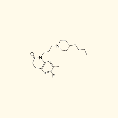 CCCCC1CCN(CCCN2C(=O)CCc3cc(F)c(C)cc32)CC1